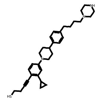 SCCC#Cc1ccc(N2CCC(c3ccc(CCCCN4CCNCC4)cc3)CC2)cc1C1CC1